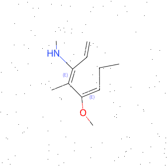 C=C/C(NC)=C(C)\C(=C/CC)OC